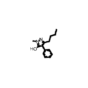 CCCCc1nn(C)c(O)c1-c1ccccc1